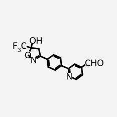 O=Cc1ccnc(-c2ccc(C3=NOC(O)(C(F)(F)F)C3)cc2)c1